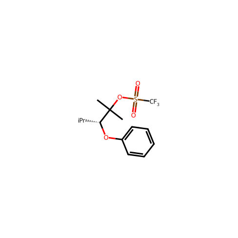 CC(C)[C@@H](Oc1ccccc1)C(C)(C)OS(=O)(=O)C(F)(F)F